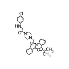 CC(C)Oc1ccccc1-n1c(CN2CCN(C(=O)CNc3ccc(Cl)cc3)CC2)nc2ccccc2c1=O